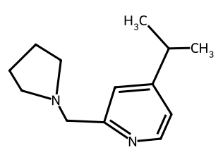 CC(C)c1ccnc(CN2CCCC2)c1